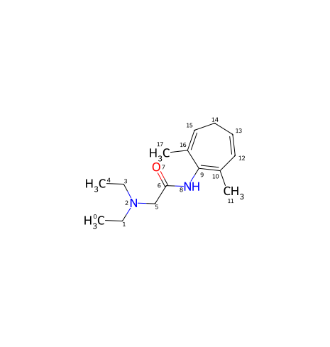 CCN(CC)CC(=O)NC1=C(C)C=CCC=C1C